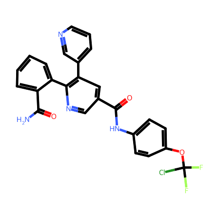 NC(=O)c1ccccc1-c1ncc(C(=O)Nc2ccc(OC(F)(F)Cl)cc2)cc1-c1cccnc1